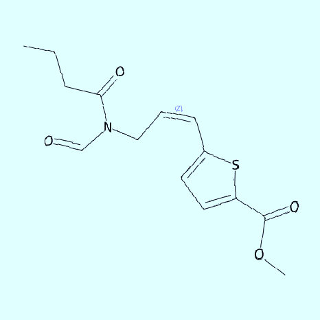 CCCC(=O)N(C=O)C/C=C\c1ccc(C(=O)OC)s1